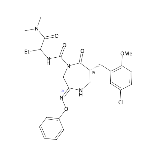 CCC(NC(=O)N1C/C(=N/Oc2ccccc2)NC[C@@H](Cc2cc(Cl)ccc2OC)C1=O)C(=O)N(C)C